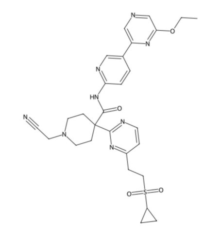 CCOc1cncc(-c2ccc(NC(=O)C3(c4nccc(CCS(=O)(=O)C5CC5)n4)CCN(CC#N)CC3)nc2)n1